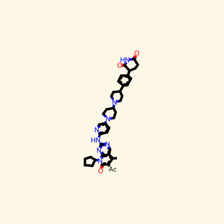 CC(=O)c1c(C)c2cnc(Nc3ccc(N4CCC(N5CCC(c6ccc(C7CCC(=O)NC7=O)cc6)CC5)CC4)cn3)nc2n(C2CCCC2)c1=O